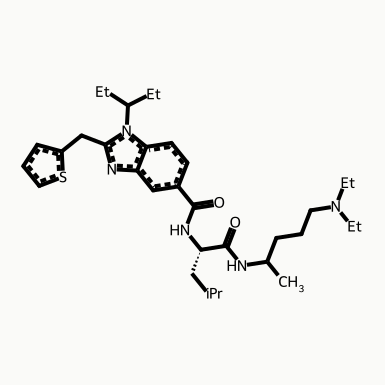 CCC(CC)n1c(Cc2cccs2)nc2cc(C(=O)N[C@@H](CC(C)C)C(=O)NC(C)CCCN(CC)CC)ccc21